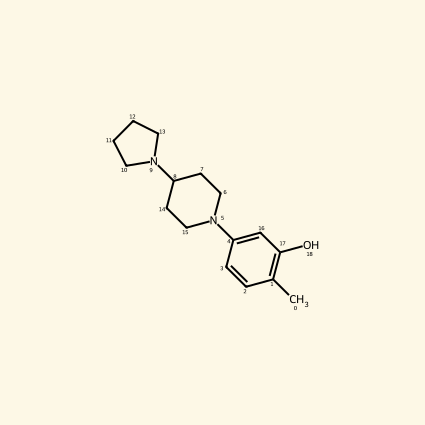 Cc1ccc(N2CCC(N3CCCC3)CC2)cc1O